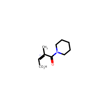 C/C(=C/C(=O)O)C(=O)N1CCCCC1